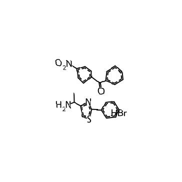 Br.CC(N)c1csc(-c2ccccc2)n1.O=C(c1ccccc1)c1ccc([N+](=O)[O-])cc1